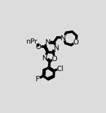 CCCOc1nc(CN2CCCOCC2)nc2oc(-c3cc(F)ccc3Cl)nc12